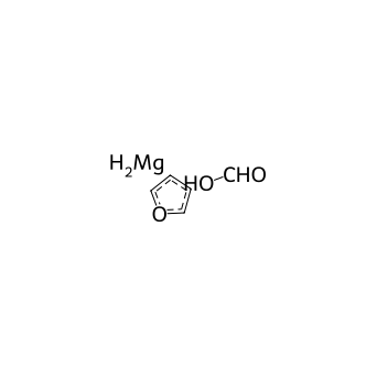 O=CO.[MgH2].c1ccoc1